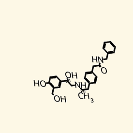 C[C@H](Cc1ccc(CC(=O)NCc2ccccc2)cc1)NC[C@H](O)c1ccc(O)c(CO)c1